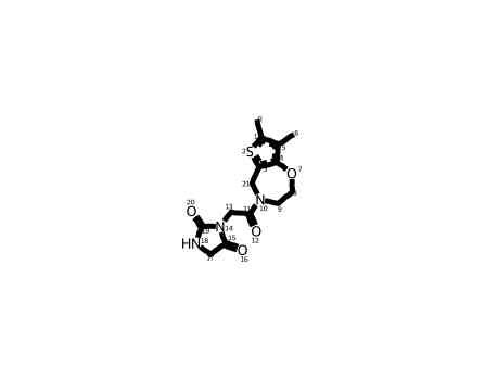 Cc1sc2c(c1C)OCCN(C(=O)CN1C(=O)CNC1=O)C2